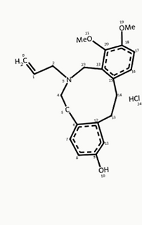 C=CCN1CCc2ccc(O)cc2CCc2ccc(OC)c(OC)c2C1.Cl